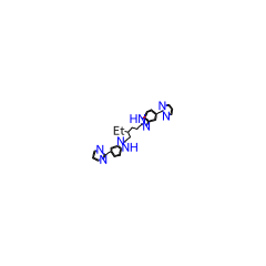 CCC(CCc1nc2cc(-c3ncccn3)ccc2[nH]1)Cc1nc2cc(-c3ncccn3)ccc2[nH]1